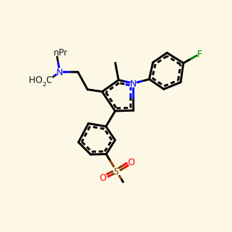 CCCN(CCc1c(-c2cccc(S(C)(=O)=O)c2)cn(-c2ccc(F)cc2)c1C)C(=O)O